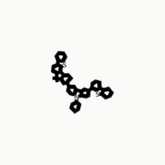 CC1(C)c2cc(-c3ccc4c(c3)c3cc(-c5cccc6c5sc5ccccc56)ccc3n4-c3ccccc3)ccc2-c2c1ccc1c2sc2ccccc21